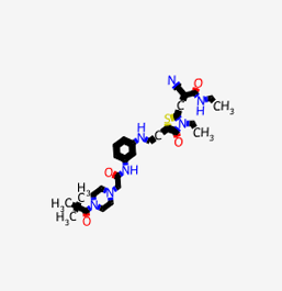 CCNC(=O)C(=C=c1sc(=C=CNc2cccc(NC(=O)CN3CCN(C(=O)C(C)(C)C)CC3)c2)c(=O)n1CC)C#N